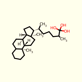 CC(CCCC(C)C(O)(O)O)[C@H]1CC[C@H]2[C@@H]3CCC4CCCC[C@]4(C)[C@H]3CC[C@]12C